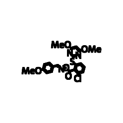 COc1ccc(/C=N/OC(=O)c2c(Cl)cccc2Sc2nc(OC)cc(OC)n2)cc1